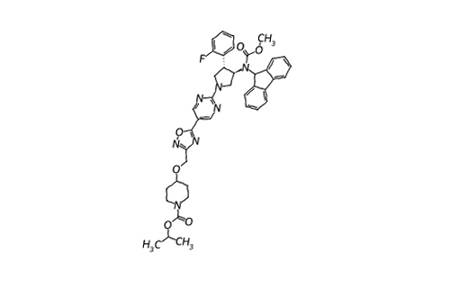 COC(=O)N(C1c2ccccc2-c2ccccc21)[C@H]1CN(c2ncc(-c3nc(COC4CCN(C(=O)OC(C)C)CC4)no3)cn2)C[C@@H]1c1ccccc1F